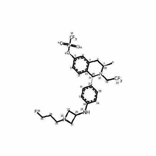 C[C@@H]1Cc2cc(OS(=O)(=O)C(F)(F)F)ccc2[C@@H](c2ccc(NC3CN(CCCF)C3)cc2)N1CC(F)(F)F